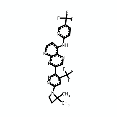 CC1(C)CCN1c1cc(C(F)(F)F)c(-c2cnc3c(Nc4ccc(C(F)(F)F)cn4)ccnc3n2)nn1